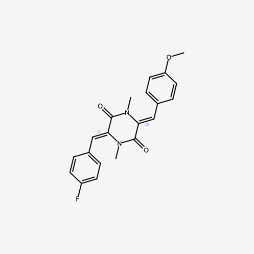 COc1ccc(/C=c2/c(=O)n(C)/c(=C\c3ccc(F)cc3)c(=O)n2C)cc1